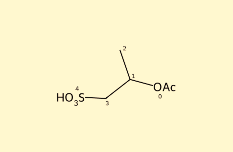 CC(=O)OC(C)CS(=O)(=O)O